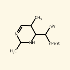 CCCCCC(CCC)C1NC(C)N=CC1C